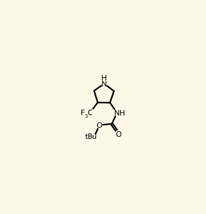 CC(C)(C)OC(=O)NC1CNCC1C(F)(F)F